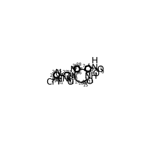 COC(=O)Nc1ccc2c(c1)NC(=O)[C@@H](C)CCC[C@H](N1CCC(c3nccc(Cl)c3F)NC1=O)c1cc-2ccn1